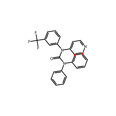 O=C(N(c1ccccc1)c1ccccc1)N(c1ccncc1)c1cccc(C(F)(F)F)c1